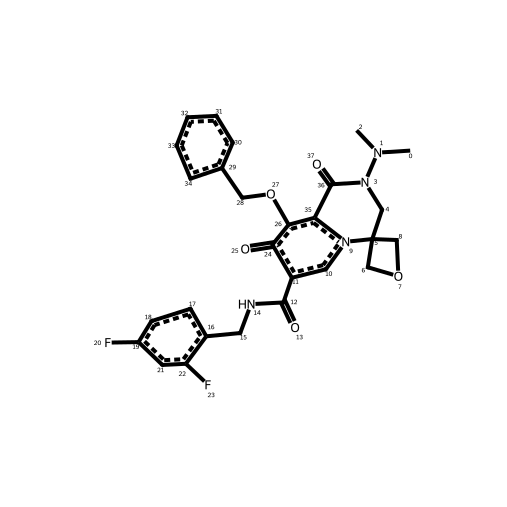 CN(C)N1CC2(COC2)n2cc(C(=O)NCc3ccc(F)cc3F)c(=O)c(OCc3ccccc3)c2C1=O